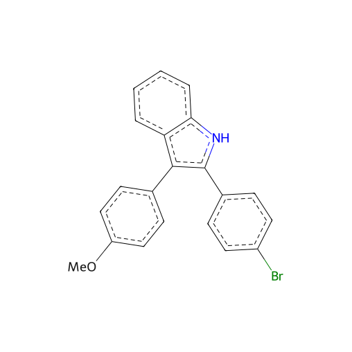 COc1ccc(-c2c(-c3ccc(Br)cc3)[nH]c3ccccc23)cc1